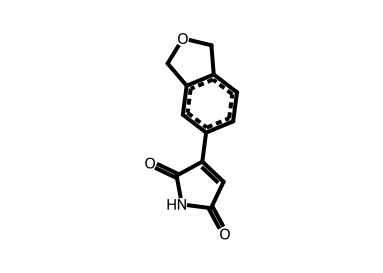 O=C1C=C(c2ccc3c(c2)COC3)C(=O)N1